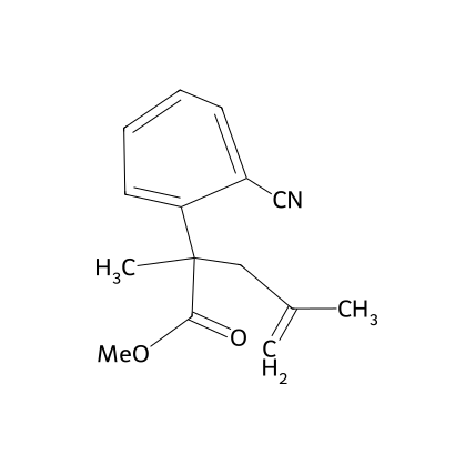 C=C(C)CC(C)(C(=O)OC)c1ccccc1C#N